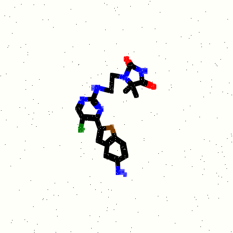 CC1(C)C(=O)NC(=O)N1CCNc1ncc(Br)c(-c2cc3cc(N)ccc3s2)n1